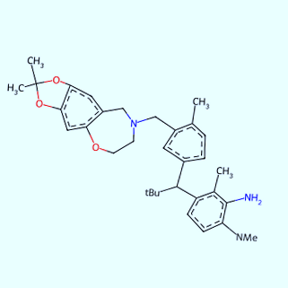 CNc1ccc(C(c2ccc(C)c(CN3CCOc4cc5c(cc4C3)OC(C)(C)O5)c2)C(C)(C)C)c(C)c1N